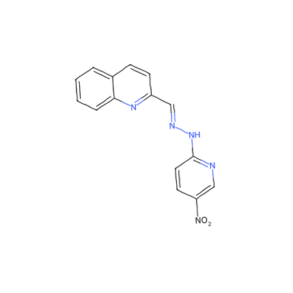 O=[N+]([O-])c1ccc(NN=Cc2ccc3ccccc3n2)nc1